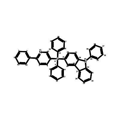 c1ccc(-c2ccc([Si](c3ccccc3)(c3ccccc3)c3ccc4c(c3)c3ccccc3n4-c3ccccc3)cn2)cc1